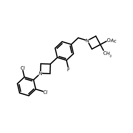 CC(=O)OC1(C)CN(Cc2ccc(C3CN(c4c(Cl)cccc4Cl)C3)c(F)c2)C1